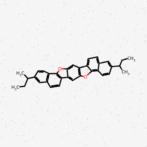 CCC(C)c1ccc2c(ccc3c4cc5oc6c7ccc(C(C)CC)cc7ccc6c5cc4oc23)c1